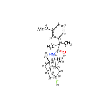 COc1cccc(C(C)(C)C(=O)N[C@H]2[C@@H]3CC4C[C@H]2C[C@](F)(C4)C3)c1